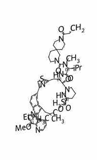 C=CC(=O)N1CCC2(CCCN(C(=O)N(C)[C@H](C(=O)N[C@H]3Cc4nc(cs4)-c4ccc5c(c4)c(c(-c4cccnc4[C@H](C)OC)n5CC)CC(C)(C)COC(=O)[C@@]4([SiH3])CCCN(N4)C3=O)C(C)C)C2)CC1